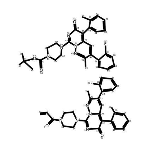 C=CC(=O)N1CCN(c2nc(=O)c(-c3ccccc3C)c3cc(-c4ccccc4F)c(C)nn23)CC1.Cc1ccccc1-c1c(=O)nc(N2CCN(C(=O)OC(C)(C)C)CC2)n2nc(C)c(-c3ccccc3F)cc12